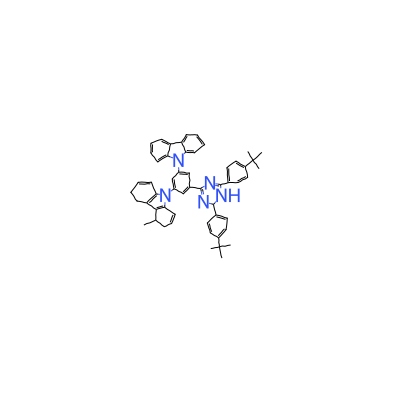 CC1CC=Cc2c1c1c(n2-c2cc(C3=NC(c4ccc(C(C)(C)C)cc4)NC(c4ccc(C(C)(C)C)cc4)=N3)cc(-n3c4ccccc4c4ccccc43)c2)C=CCC1